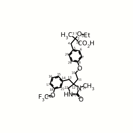 CCOC(C)(Cc1ccc(OCCC2(Cc3cccc(OC(F)(F)F)c3)CNC(=O)N2C)cc1)C(=O)O